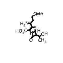 CSCCC(N)C1=C(C(=O)O)N2C(=O)C(C(C)O)[C@@H]2S1